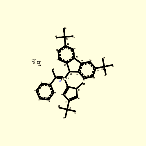 C/[C](c1ccccc1)=[Zr+2](/[C]1=CC(C(C)(C)C)=CC1C)[CH]1c2ccc(C(C)(C)C)cc2-c2cc(C(C)(C)C)ccc21.[Cl-].[Cl-]